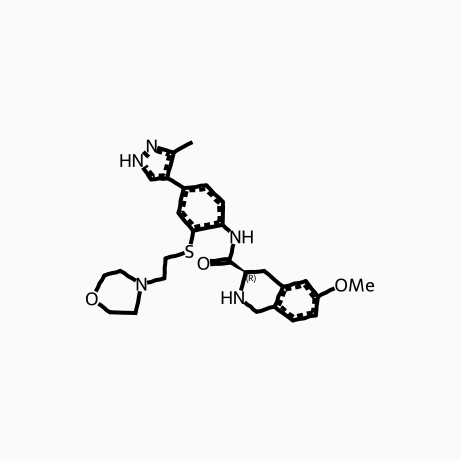 COc1ccc2c(c1)C[C@H](C(=O)Nc1ccc(-c3c[nH]nc3C)cc1SCCN1CCOCC1)NC2